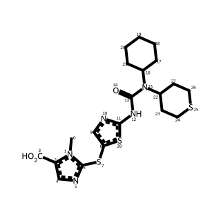 Cn1c(C(=O)O)cnc1Sc1cnc(NC(=O)N(C2CCCCC2)C2CCSCC2)s1